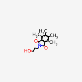 Cc1c(C)c(C)c2c(c1C)C(=O)N(CCCO)C2=O